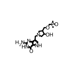 CP(C)(=O)COCC1CN(Cc2c[nH]c3c(=O)[nH]c(N)nc23)CC1O